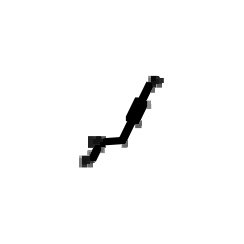 CC(C)C#CCNC(C)C